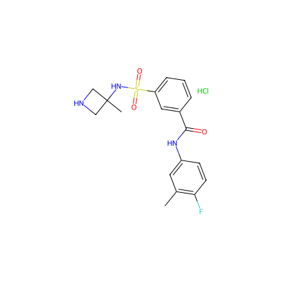 Cc1cc(NC(=O)c2cccc(S(=O)(=O)NC3(C)CNC3)c2)ccc1F.Cl